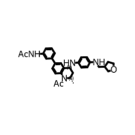 CC(=O)Nc1cccc(-c2ccc3c(c2)[C@H](Nc2ccc(NCC4CCOC4)cc2)C[C@H](C)N3C(C)=O)c1